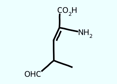 CC(C=O)C=C(N)C(=O)O